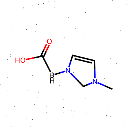 CN1C=CN(BC(=O)O)C1